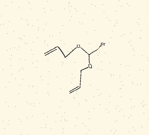 C=CCOC(OCC=C)C(C)C